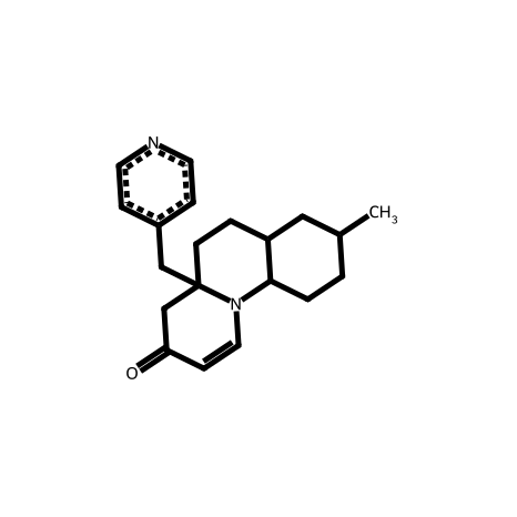 CC1CCC2C(CCC3(Cc4ccncc4)CC(=O)C=CN23)C1